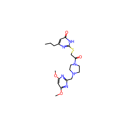 CCCc1cc(=O)[nH]c(SCC(=O)N2CCN(Cc3nc(OC)cc(OC)n3)CC2)n1